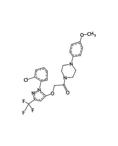 COc1ccc(N2CCN(C(=O)COc3cc(C(F)(F)F)nn3-c3ccccc3Cl)CC2)cc1